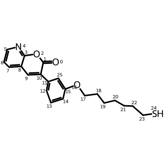 O=c1oc2ncccc2cc1-c1cccc(OCCCCCCCS)c1